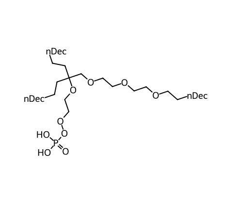 CCCCCCCCCCCCOCCOCCOCC(CCCCCCCCCCCC)(CCCCCCCCCCCC)OCCOOP(=O)(O)O